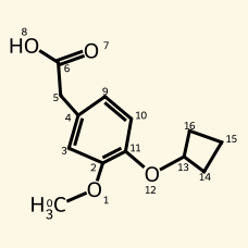 COc1cc(CC(=O)O)ccc1OC1CCC1